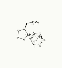 COC[C@@H]1CCCN1.c1cc2ccc1CN2